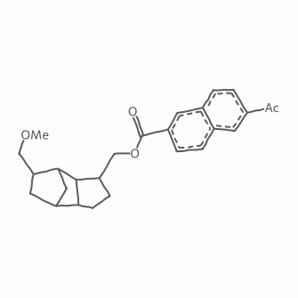 COCC1CC2CC1C1C(COC(=O)c3ccc4cc(C(C)=O)ccc4c3)CCC21